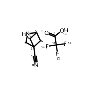 N#CC12CNC(C1)C2.O=C(O)C(F)(F)F